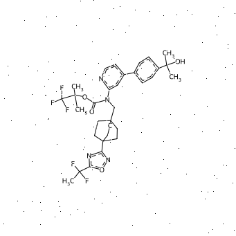 CC(C)(O)c1ccc(-c2ccnc(N(CC34CCC(c5noc(C(C)(F)F)n5)(CC3)CC4)C(=O)OC(C)(C)C(F)(F)F)c2)cc1